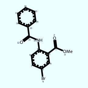 COC(=O)c1cc(Br)ccc1NC(=O)c1ccccc1